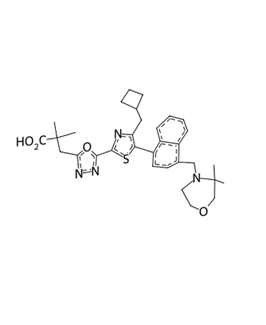 CC(C)(Cc1nnc(-c2nc(CC3CCC3)c(-c3ccc(CN4CCOCC4(C)C)c4ccccc34)s2)o1)C(=O)O